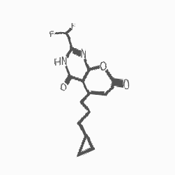 O=C1C=C(CCCC2CC2)C2C(=O)NC(C(F)F)=NC2O1